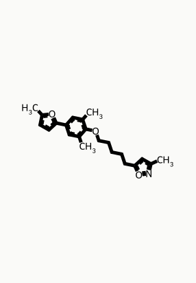 Cc1cc(CCCCCOc2c(C)cc(-c3ccc(C)o3)cc2C)on1